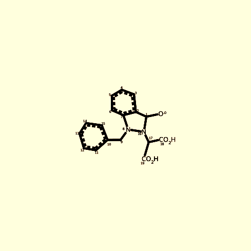 [O]C1c2ccccc2N(Cc2ccccc2)N1C(C(=O)O)C(=O)O